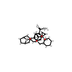 NC(=O)c1cccc(C2CC3CCC(C2)N3CCN(CC2CCCCC2)C(=O)C2(O)CC2)c1